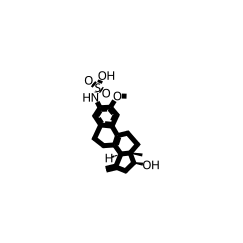 C=C1C[C@H](O)[C@@]2(C)CCC3=C(CCc4cc(NS(=O)(=O)O)c(OC)cc43)[C@H]12